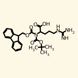 CC(C)(C)OC(=O)N(C(=O)OCC1c2ccccc2-c2ccccc21)C(CCCNC(=N)N)C(=O)O